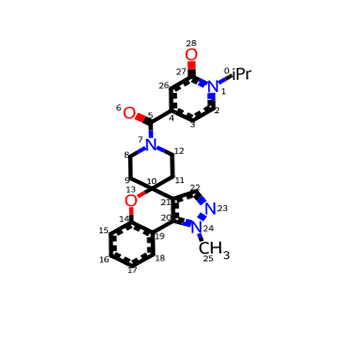 CC(C)n1ccc(C(=O)N2CCC3(CC2)Oc2ccccc2-c2c3cnn2C)cc1=O